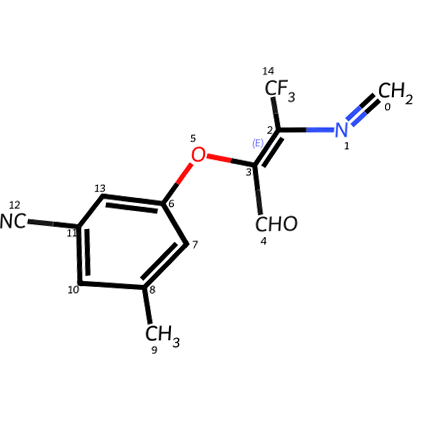 C=N/C(=C(\C=O)Oc1cc(C)cc(C#N)c1)C(F)(F)F